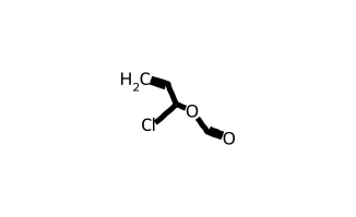 C=CC(Cl)OC=O